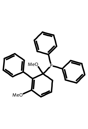 COC1=C(c2ccccc2)C(OC)(P(c2ccccc2)c2ccccc2)CC=C1